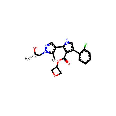 Cc1c(-c2[nH]cc(-c3ccccc3Cl)c2C(=O)OC2COC2)cnn1C[C@H](C)O